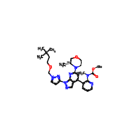 C[C@@H]1COCCN1c1cc(-c2cccnc2N(C(=O)O)C(=O)OC(C)(C)C)c2cnn(-c3ccn(COCC[Si](C)(C)C)n3)c2n1